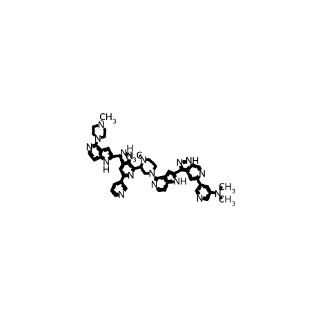 CN1CCN(c2nccc3[nH]c(-c4n[nH]c5c(C6CN(c7nccc8[nH]c(-c9n[nH]c%10cnc(-c%11cncc(N(C)C)c%11)cc9%10)cc78)CCN6C)nc(-c6cccnc6)cc45)cc23)CC1